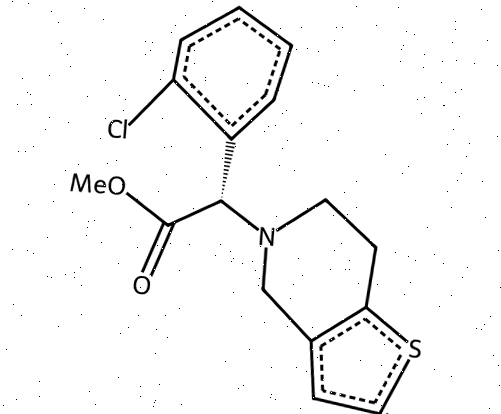 COC(=O)[C@H](c1ccccc1Cl)N1CCc2s[c]cc2C1